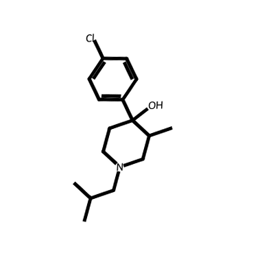 C[C](C)CN1CCC(O)(c2ccc(Cl)cc2)C(C)C1